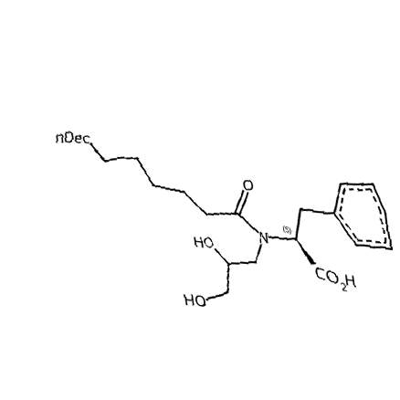 CCCCCCCCCCCCCCCC(=O)N(CC(O)CO)[C@@H](Cc1ccccc1)C(=O)O